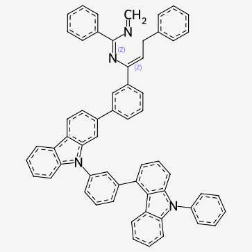 C=N/C(=N\C(=C/Cc1ccccc1)c1cccc(-c2ccc3c4ccccc4n(-c4cccc(-c5cccc6c5c5ccccc5n6-c5ccccc5)c4)c3c2)c1)c1ccccc1